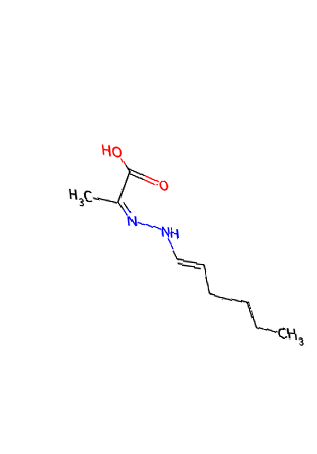 CCCCC=CNN=C(C)C(=O)O